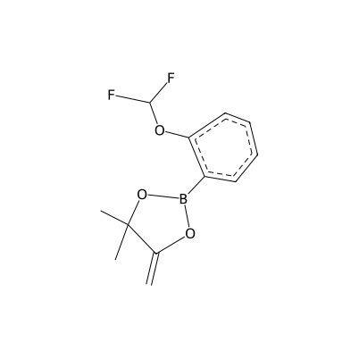 C=C1OB(c2ccccc2OC(F)F)OC1(C)C